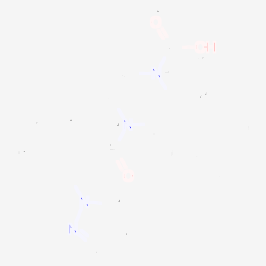 CCC1CN(C(=O)c2ccccc2-n2cccn2)c2cc(C)c(C)cc2N1C(=O)O